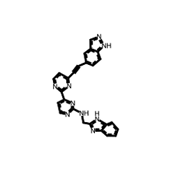 C(#Cc1ccnc(-c2ccnc(NCc3nc4ccccc4[nH]3)n2)n1)c1ccc2[nH]ncc2c1